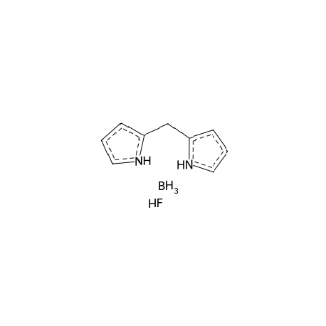 B.F.c1c[nH]c(Cc2ccc[nH]2)c1